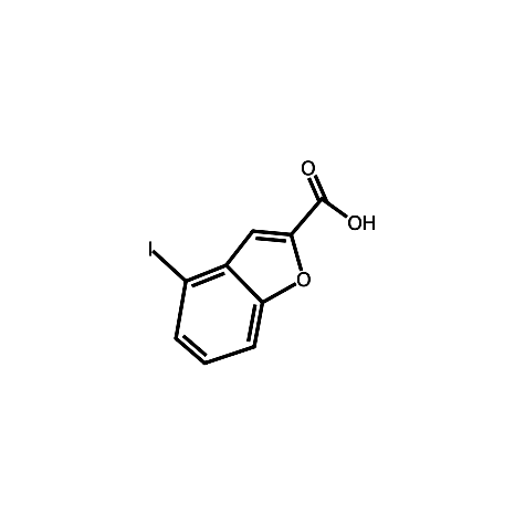 O=C(O)c1cc2c(I)cccc2o1